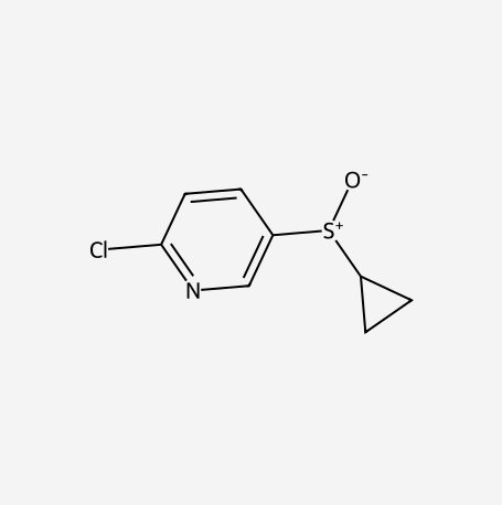 [O-][S+](c1ccc(Cl)nc1)C1CC1